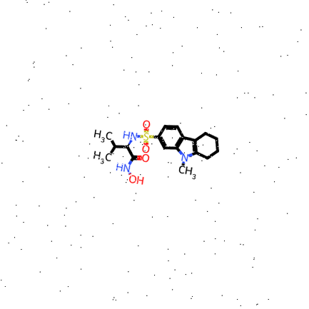 CC(C)[C@@H](NS(=O)(=O)c1ccc2c3c(n(C)c2c1)CCCC3)C(=O)NO